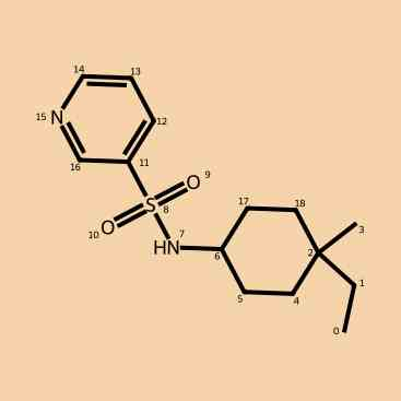 CCC1(C)CCC(NS(=O)(=O)c2cccnc2)CC1